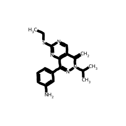 C=C1c2cnc(SCC)nc2C(c2cccc(N)c2)=NN1C(C)C